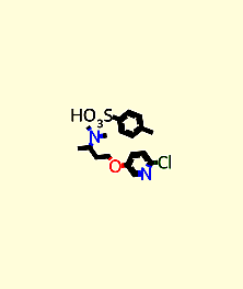 CC(CCOc1ccc(Cl)nc1)N(C)C.Cc1ccc(S(=O)(=O)O)cc1